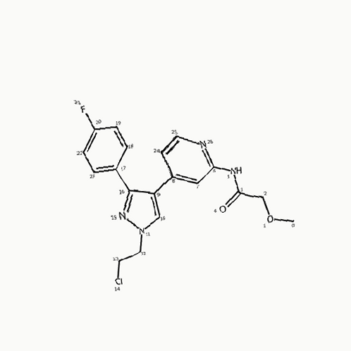 COCC(=O)Nc1cc(-c2cn(CCCl)nc2-c2ccc(F)cc2)ccn1